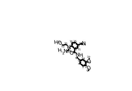 COc1ccc(CNC(=O)c2cc(C#N)ccc2N(CN)CCO)cc1OC